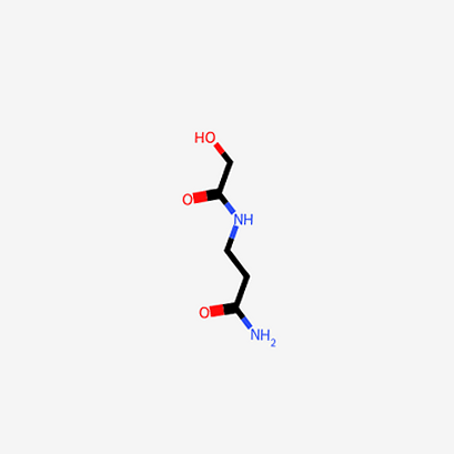 NC(=O)CCNC(=O)CO